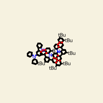 CC(C)(C)c1cc(-c2ccc3c(c2)N(c2c(-c4ccccc4)cc(C(C)(C)C)cc2-c2ccccc2)c2cc(-c4cc(C(C)(C)C)cc(C(C)(C)C)c4)cc4c2B3c2ccc(-n3c5ccccc5c5cc(N(c6ccccc6)c6ccccc6)ccc53)cc2N4c2c(-c3ccccc3)cc(C(C)(C)C)cc2-c2ccccc2)cc(C(C)(C)C)c1